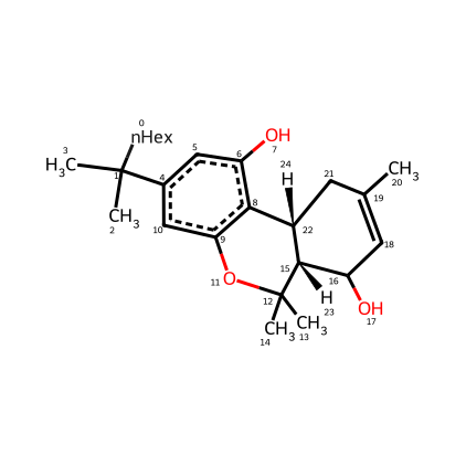 CCCCCCC(C)(C)c1cc(O)c2c(c1)OC(C)(C)[C@H]1C(O)C=C(C)C[C@@H]21